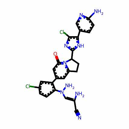 N#C/C(N)=C/N(N)c1ccc(Cl)cc1-c1cc2n(c(=O)c1)C(c1nc(Cl)c(-c3ccc(N)nc3)[nH]1)CC2